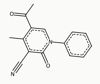 CC(=O)c1cn(-c2ccccc2)c(=O)c(C#N)c1C